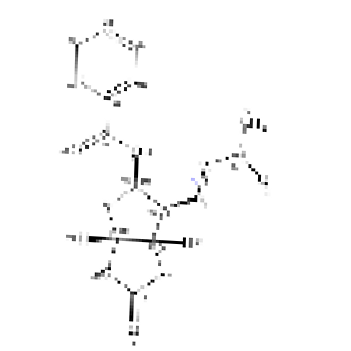 C[C@H](O)/C=C/[C@H]1[C@@H]2CC(=O)O[C@@H]2C[C@H]1OC(=O)c1ccccc1